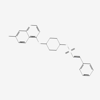 O=S(=O)(/C=C/c1ccccc1)NC1CCC(Nc2ccnc3cc(Cl)ccc23)CC1